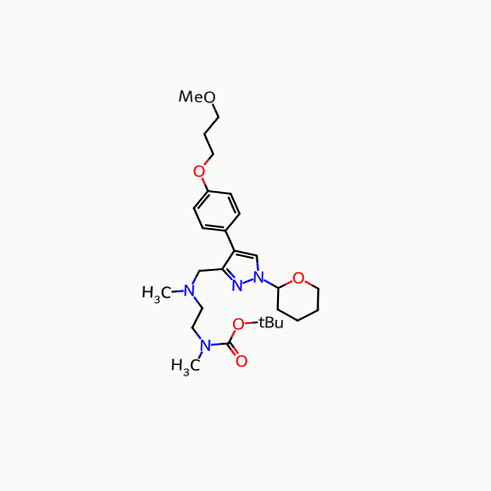 COCCCOc1ccc(-c2cn(C3CCCCO3)nc2CN(C)CCN(C)C(=O)OC(C)(C)C)cc1